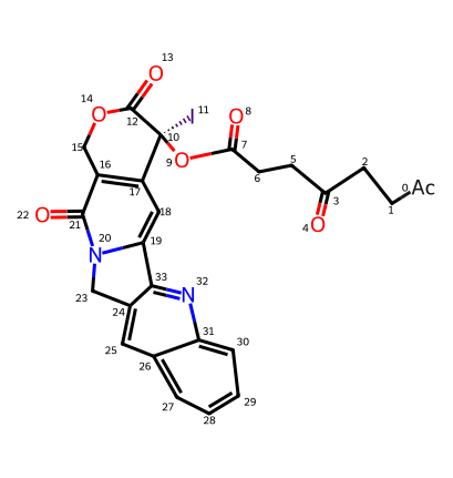 CC(=O)CCC(=O)CCC(=O)O[C@]1(I)C(=O)OCc2c1cc1n(c2=O)Cc2cc3ccccc3nc2-1